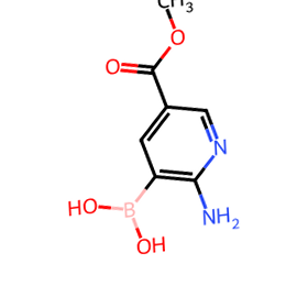 COC(=O)c1cnc(N)c(B(O)O)c1